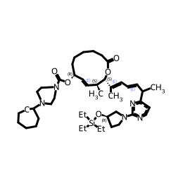 CC[Si](CC)(CC)O[C@@H]1CCN(c2nccc(C(C)/C=C/C=C(\C)[C@H]3OC(=O)CCCCC[C@@H](OC(=O)N4CCN(C5CCCCCC5)CC4)/C=C/[C@@H]3C)n2)C1